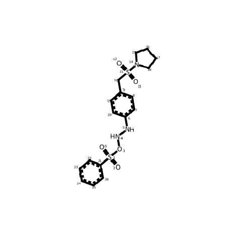 O=S(=O)(ONNc1ccc(CS(=O)(=O)N2CCCC2)cc1)c1ccccc1